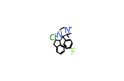 CN1CCN(Cl)C(c2ccc(F)cc2)(C2CCc3ccccc32)C1(C)C